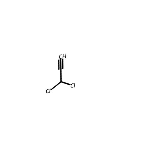 C#C[C](Cl)Cl